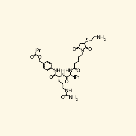 CC(C)C(=O)OCc1ccc(NC(=O)[C@H](CCCNC(N)=O)NC(=O)C(NC(=O)CCCCN2C(=O)CC(SCCN)C2=O)C(C)C)cc1